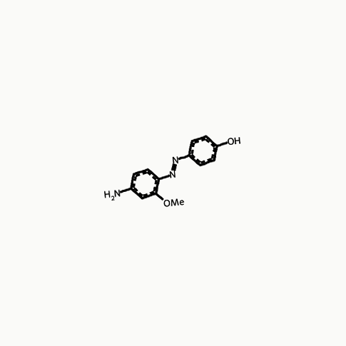 COc1cc(N)ccc1/N=N/c1ccc(O)cc1